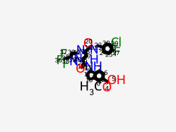 Cc1c(C(=O)O)ccc2c1CC[C@@H]2NC(=O)c1cc(C(=O)NCc2ccc(F)c(Cl)c2)nc2cc(C(F)(F)F)nn12